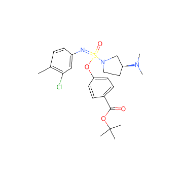 Cc1ccc(N=S(=O)(Oc2ccc(C(=O)OC(C)(C)C)cc2)N2CC[C@H](N(C)C)C2)cc1Cl